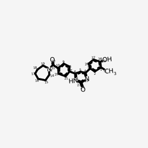 Cc1cc(-c2cc(-c3ccc(C(=O)N4CCCCCC4)cc3)[nH]c(=O)n2)ccc1O